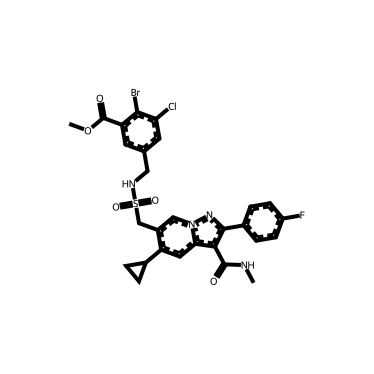 CNC(=O)c1c(-c2ccc(F)cc2)nn2cc(CS(=O)(=O)NCc3cc(Cl)c(Br)c(C(=O)OC)c3)c(C3CC3)cc12